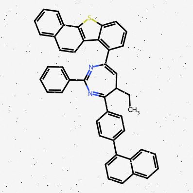 CCC1C=C(c2cccc3sc4c5ccccc5ccc4c23)N=C(c2ccccc2)N=C1c1ccc(-c2cccc3ccccc23)cc1